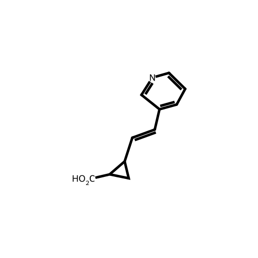 O=C(O)C1CC1C=Cc1cccnc1